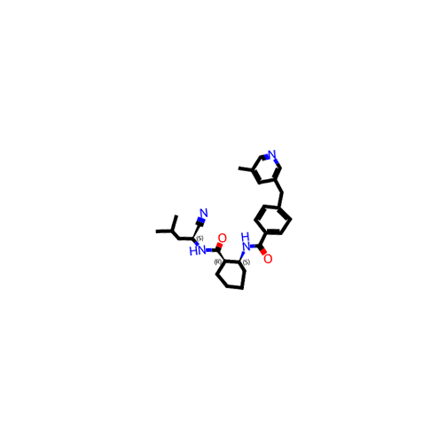 Cc1cncc(Cc2ccc(C(=O)N[C@H]3CCCC[C@H]3C(=O)N[C@H](C#N)CC(C)C)cc2)c1